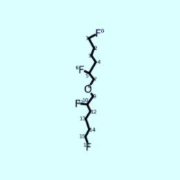 FCCCCC(F)COCC(F)CCCCF